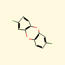 Clc1ccc2c(c1)Oc1ccc(Cl)cc1O2